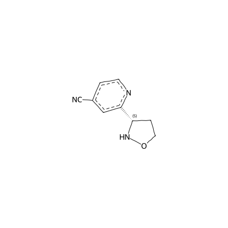 N#Cc1ccnc([C@@H]2CCON2)c1